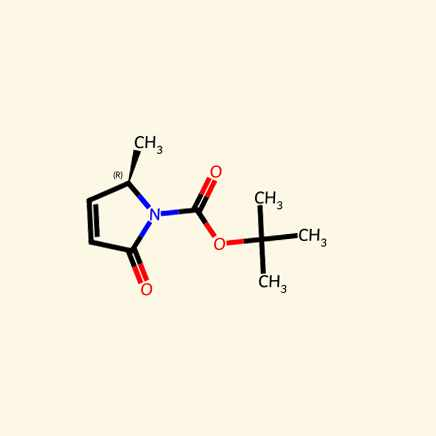 C[C@@H]1C=CC(=O)N1C(=O)OC(C)(C)C